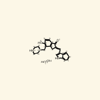 Cl.Cl.O=C1C(=Cc2c[nH]c3ccccc23)Cc2c1ccc(O)c2CN1CCNCC1